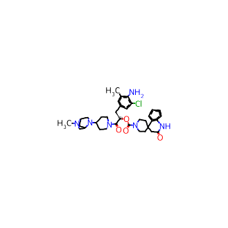 Cc1cc(C[C@@H](OC(=O)N2CCC3(CC2)CC(=O)Nc2ccccc23)C(=O)N2CCC(N3CC4CC3CN4C)CC2)cc(Cl)c1N